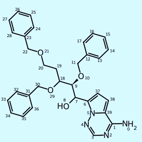 Nc1ncnn2c(C(O)[C@H](OCc3ccccc3)C(CCOCc3ccccc3)OCc3ccccc3)ccc12